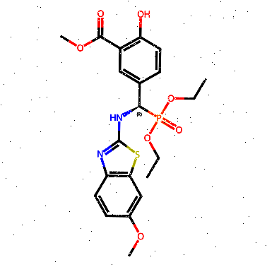 CCOP(=O)(OCC)[C@@H](Nc1nc2ccc(OC)cc2s1)c1ccc(O)c(C(=O)OC)c1